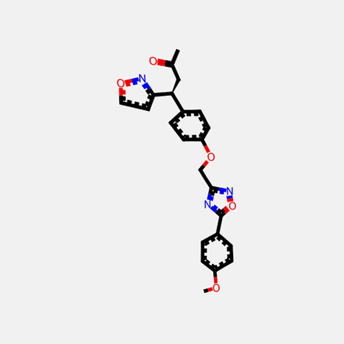 COc1ccc(-c2nc(COc3ccc([C@H](CC(C)=O)c4ccon4)cc3)no2)cc1